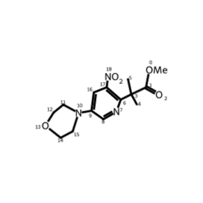 COC(=O)C(C)(C)c1ncc(N2CCOCC2)cc1[N+](=O)[O-]